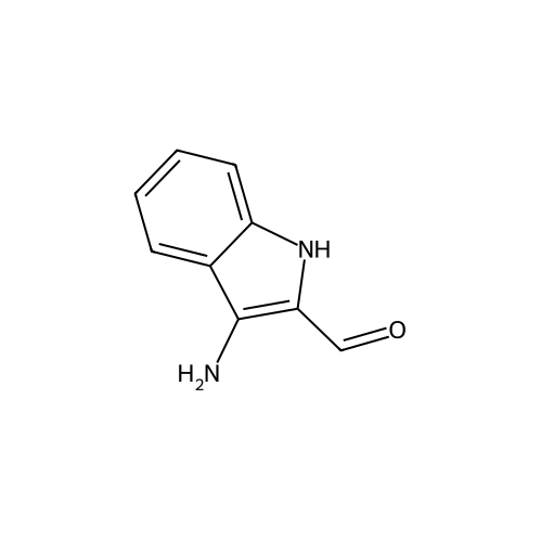 Nc1c(C=O)[nH]c2ccccc12